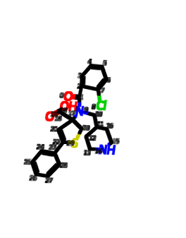 O=C(c1ccccc1Cl)N(CC1CCNCC1)C1(C(=O)O)C=C(c2ccccc2)SC1